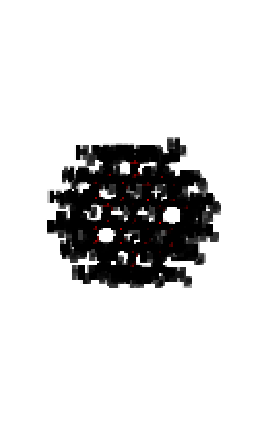 BBB(B(B)B)B(B(B)B)B(B(B(B)B)B(B)B)B(B(B(B(B)B)B(B)B)B(B(B)B)B(B)B)B(B(B(B(B(B)B)B(B)B)B(B(B)B)B(B)B)B(B(B(B)B)B(B)B)B(B(B)B)B(B)B)B(B(B(B(B(B)B)B(B)B)B(B(B)B)B(B)B)B(B(B(B)B)B(B)B)B(B(B)B)B(B)B)B(B(B(B(B)B)B(B)B)B(B(B)B)B(B)B)B(B(B(B)B)B(B)B)B(B(B)B)B(B)B